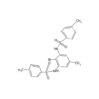 Cc1ccc(S(=O)(=O)Nc2cc(C)cc(NS(=O)(=O)c3ccc(C)cc3)c2Br)cc1